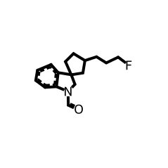 O=CN1CC2(CCC(CCCF)C2)c2ccccc21